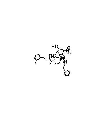 Cc1cccc(C=CC(=O)N(C)[C@@H]2CC[C@H]3[C@H]4Cc5c([N+](=O)[O-])cc(O)c6c5[C@@]3(CCN4CCc3ccccc3)[C@H]2O6)c1